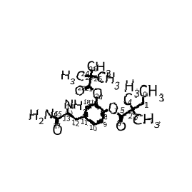 CCC(C)(C)C(=O)Oc1ccc(C[C@H](N)C(N)=O)cc1OC(=O)C(C)(C)C